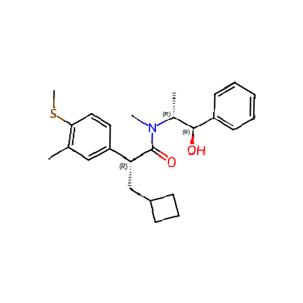 CSc1ccc([C@@H](CC2CCC2)C(=O)N(C)[C@H](C)[C@H](O)c2ccccc2)cc1C